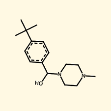 CN1CCN(C(O)c2ccc(C(C)(C)C)cc2)CC1